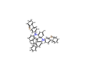 Cc1cc2c3c(c1)N(c1ccc4c(c1)sc1ccccc14)c1cccc4c1B3c1c(cccc1C4(C)c1ccccc1)N2c1ccc2c(c1)sc1ccccc12